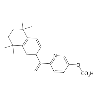 C=C(c1ccc2c(c1)C(C)(C)CCC2(C)C)c1ccc(OC(=O)O)cn1